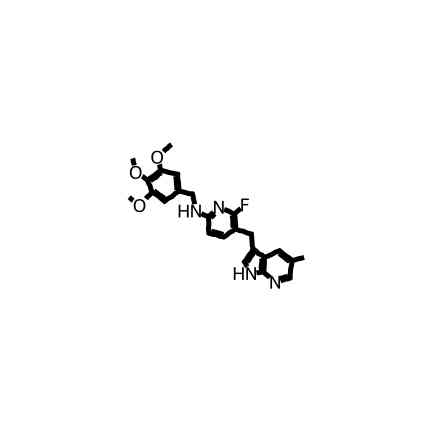 COc1cc(CNc2ccc(Cc3c[nH]c4ncc(C)cc34)c(F)n2)cc(OC)c1OC